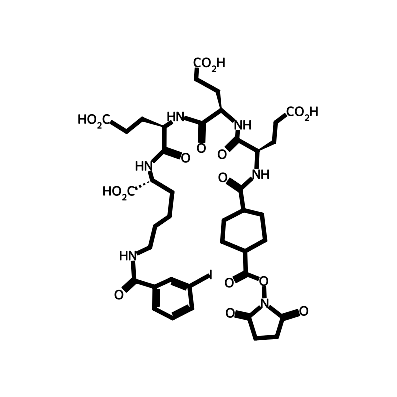 O=C(O)CC[C@@H](NC(=O)C1CCC(C(=O)ON2C(=O)CCC2=O)CC1)C(=O)N[C@H](CCC(=O)O)C(=O)N[C@H](CCC(=O)O)C(=O)N[C@H](CCCCNC(=O)c1cccc(I)c1)C(=O)O